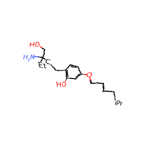 CCC(N)(CO)CCc1ccc(OCCCCC(C)C)cc1O